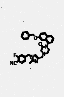 Cc1nc(CN2CCN(c3cccc4ccc(OCc5ccccc5)cc34)C(=O)C2)cn1Cc1ccc(C#N)c(F)c1